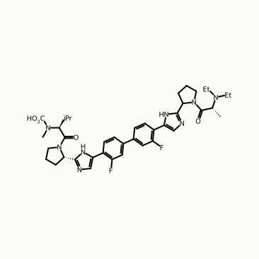 CCN(CC)[C@H](C)C(=O)N1CCCC1c1ncc(-c2ccc(-c3ccc(-c4cnc([C@@H]5CCCN5C(=O)[C@H](C(C)C)N(C)C(=O)O)[nH]4)c(F)c3)cc2F)[nH]1